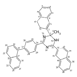 CC1(C2=Cc3ccccc3CC2)N=C(c2ccc(-c3cccc4ccccc34)cc2)N=C(c2ccc3ccccc3c2)N1